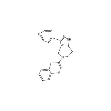 O=C(Cc1ccccc1F)N1CCc2[nH]nc(-c3ccncc3)c2C1